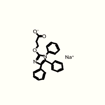 O=C([O-])CCOc1nc(-c2ccccc2)c(-c2ccccc2)n1-c1ccccc1.[Na+]